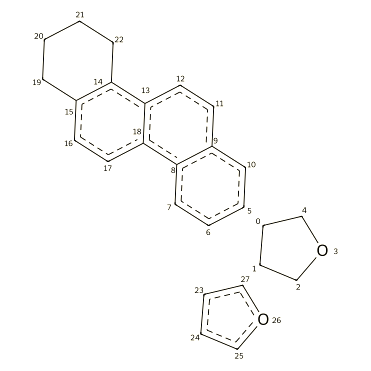 C1CCOC1.c1ccc2c(c1)ccc1c3c(ccc12)CCCC3.c1ccoc1